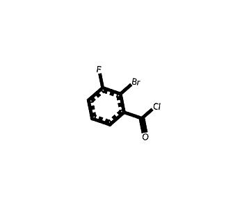 O=C(Cl)c1cccc(F)c1Br